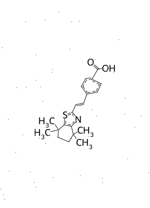 CC1(C)CCC(C)(C)c2sc(C=Cc3ccc(C(=O)O)cc3)nc21